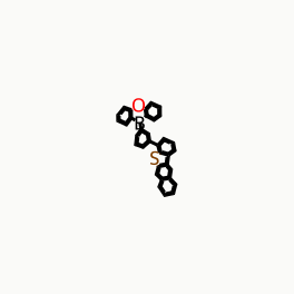 c1cc(B2c3ccccc3Oc3ccccc32)cc(-c2cccc3c2sc2cc4ccccc4cc23)c1